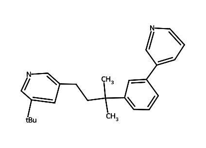 CC(C)(C)c1cncc(CCC(C)(C)c2cccc(-c3cccnc3)c2)c1